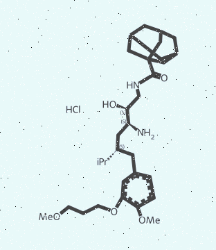 COCCCOc1cc(C[C@@H](C[C@H](N)[C@@H](O)CNC(=O)C23CC4CC(CC(C4)C2)C3)C(C)C)ccc1OC.Cl